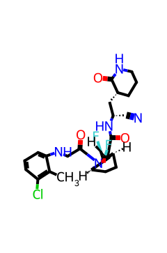 Cc1c(Cl)cccc1NCC(=O)N1[C@@H]2CC[C@H]([C@H]1C(=O)N[C@@H](C#N)C[C@H]1CCCNC1=O)C(F)(F)C2